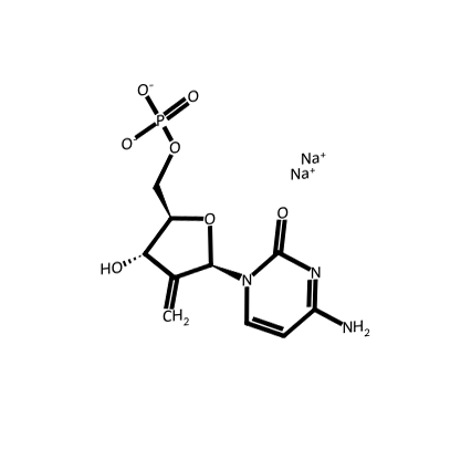 C=C1[C@H](n2ccc(N)nc2=O)O[C@H](COP(=O)([O-])[O-])[C@H]1O.[Na+].[Na+]